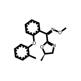 CON=C(C1=NC[C@@H](C)O1)c1ccccc1Oc1ccccc1C